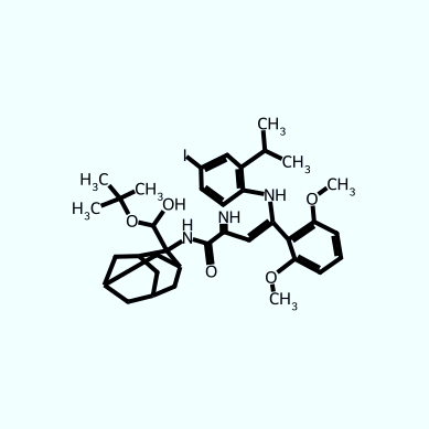 COc1cccc(OC)c1/C(=C/C(=N)C(=O)NC1(C(O)OC(C)(C)C)C2CC3CC(C2)CC1C3)Nc1ccc(I)cc1C(C)C